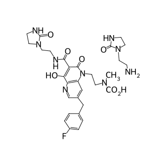 CN(CCn1c(=O)c(C(=O)NCCN2CCNC2=O)c(O)c2ncc(Cc3ccc(F)cc3)cc21)C(=O)O.NCCN1CCNC1=O